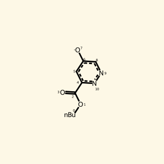 CCCCOC(=O)c1cc([O])cnn1